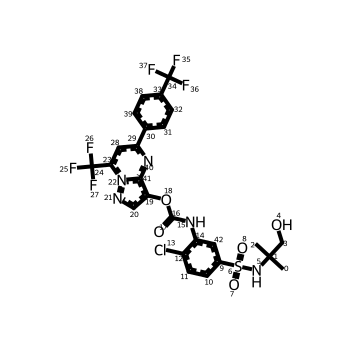 CC(C)(CO)NS(=O)(=O)c1ccc(Cl)c(NC(=O)Oc2cnn3c(C(F)(F)F)cc(-c4ccc(C(F)(F)F)cc4)nc23)c1